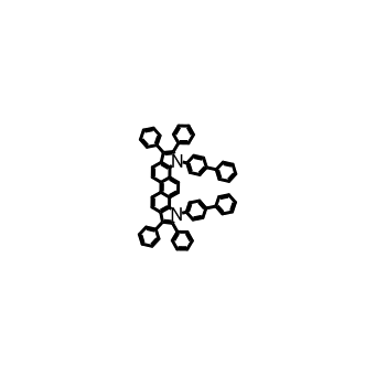 c1ccc(-c2ccc(-n3c(-c4ccccc4)c(-c4ccccc4)c4ccc5c6ccc7c(-c8ccccc8)c(-c8ccccc8)n(-c8ccc(-c9ccccc9)cc8)c7c6ccc5c43)cc2)cc1